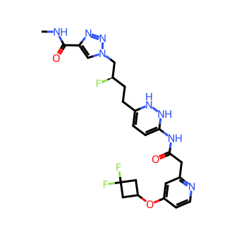 CNC(=O)c1cn(C[C@H](F)CCC2=CC=C(NC(=O)Cc3cc(OC4CC(F)(F)C4)ccn3)NN2)nn1